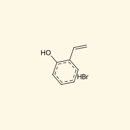 Br.C=Cc1ccccc1O